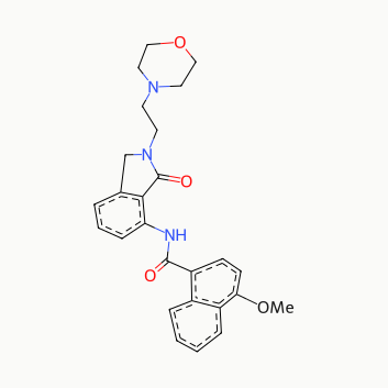 COc1ccc(C(=O)Nc2cccc3c2C(=O)N(CCN2CCOCC2)C3)c2ccccc12